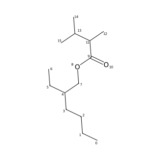 CCCCC(CC)COC(=O)C(C)C(C)C